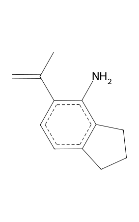 C=C(C)c1ccc2c(c1N)CCC2